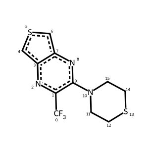 FC(F)(F)c1nc2cscc2nc1N1CCSCC1